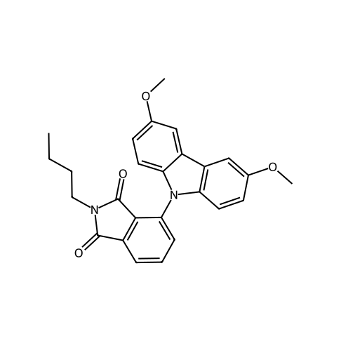 CCCCN1C(=O)c2cccc(-n3c4ccc(OC)cc4c4cc(OC)ccc43)c2C1=O